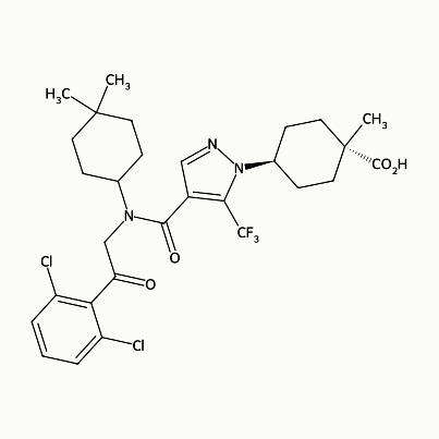 CC1(C)CCC(N(CC(=O)c2c(Cl)cccc2Cl)C(=O)c2cnn([C@H]3CC[C@](C)(C(=O)O)CC3)c2C(F)(F)F)CC1